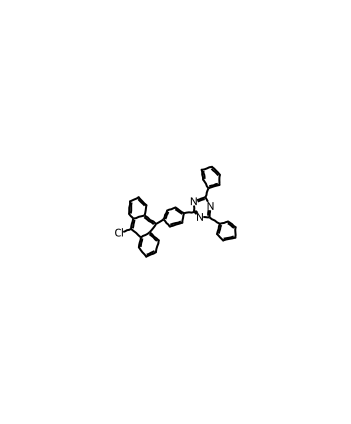 Clc1c2ccccc2c(-c2ccc(-c3nc(-c4ccccc4)nc(-c4ccccc4)n3)cc2)c2ccccc12